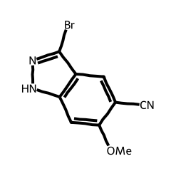 COc1cc2[nH]nc(Br)c2cc1C#N